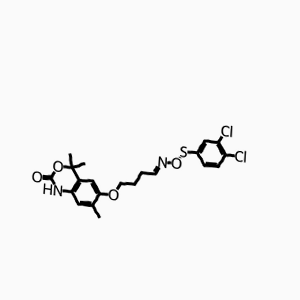 Cc1cc2c(cc1OCCCC=NOSc1ccc(Cl)c(Cl)c1)C(C)(C)OC(=O)N2